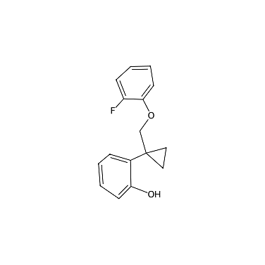 Oc1ccccc1C1(COc2ccccc2F)CC1